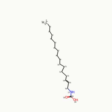 CCCCCCCCCCCCCCC=CCNC(=O)O